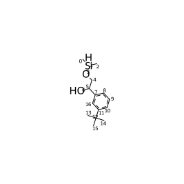 C[SiH](C)OCC(O)c1cccc(C(C)(C)C)c1